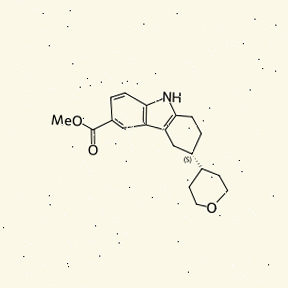 COC(=O)c1ccc2[nH]c3c(c2c1)C[C@@H](C1CCOCC1)CC3